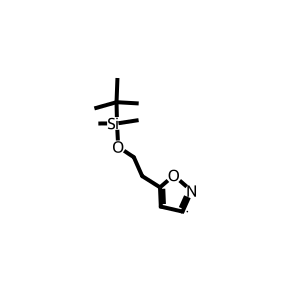 CC(C)(C)[Si](C)(C)OCCc1c[c]no1